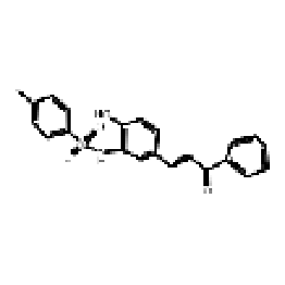 Cc1ccc(S(=O)(=O)Nc2cc(/C=C/C(=O)c3ccccc3)ccc2O)cc1